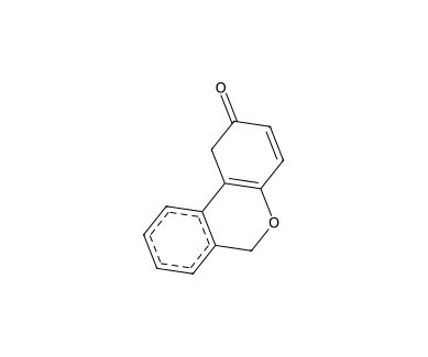 O=C1C=CC2=C(C1)c1ccccc1CO2